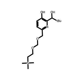 CC(C)(C)C(O)c1nc(COCOCC[Si](C)(C)C)ccc1O